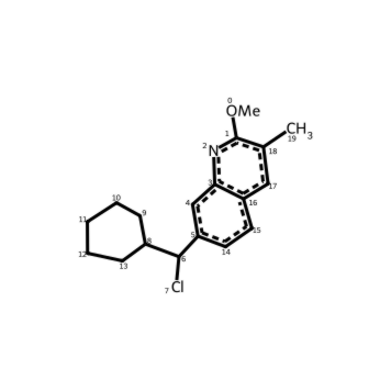 COc1nc2cc(C(Cl)C3CCCCC3)ccc2cc1C